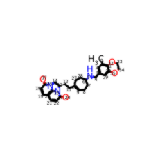 Cc1cc(CNC2CCC=C(CC[C@@H]3Cn4c(=O)ccc5ccc(=O)n3c54)CC2)cc2c1OCCO2